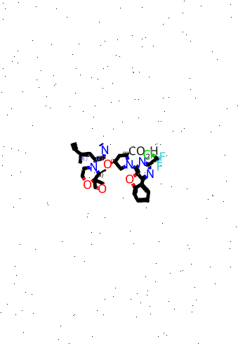 C#C/C(C)=C/C(=C(\N=C)O[C@H]1C[C@@H](C(=O)O)N(c2nc(C(F)(F)Cl)nc3c2oc2ccccc23)C1)N1CCOC2(COC2)[C@@H]1C